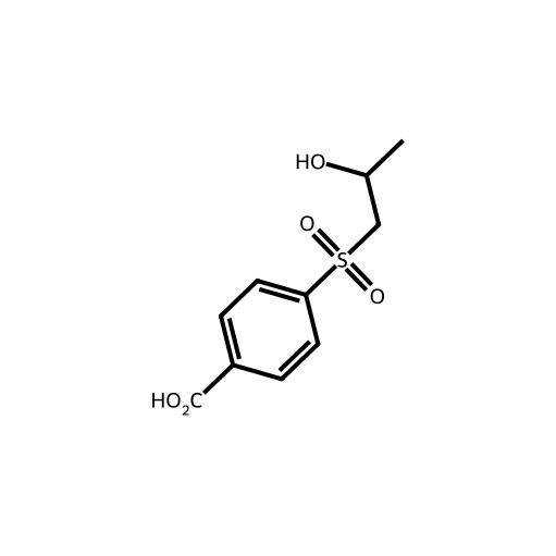 CC(O)CS(=O)(=O)c1ccc(C(=O)O)cc1